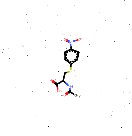 CC(=O)NC(CSc1ccc([N+](=O)[O-])cc1)C(=O)O